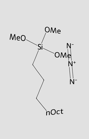 CCCCCCCCCCC[Si](OC)(OC)OC.[N-]=[N+]=[N-]